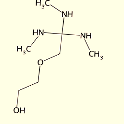 CNC(COCCO)(NC)NC